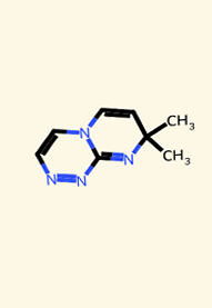 CC1(C)C=CN2C=CN=NC2=N1